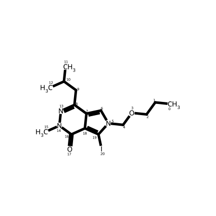 CCCOCn1cc2c(CC(C)C)nn(C)c(=O)c2c1I